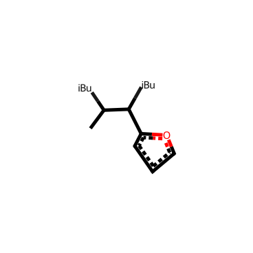 CCC(C)C(C)C(c1ccco1)C(C)CC